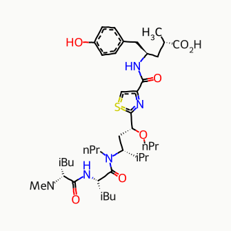 CCCO[C@H](C[C@H](C(C)C)N(CCC)C(=O)[C@@H](NC(=O)[C@H](NC)[C@@H](C)CC)[C@@H](C)CC)c1nc(C(=O)N[C@@H](Cc2ccc(O)cc2)C[C@H](C)C(=O)O)cs1